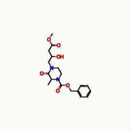 COC(=O)CC(O)CN1CCN(C(=O)OCc2ccccc2)C(C)C1=O